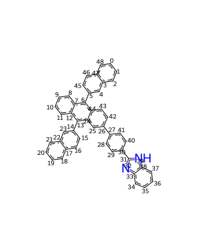 c1ccc2cc(-c3c4ccccc4c(-c4ccc5ccccc5c4)c4cc(-c5ccc(-c6nc7ccccc7[nH]6)cc5)ccc34)ccc2c1